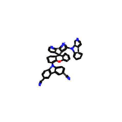 N#Cc1ccc2c(c1)c1cc(C#N)ccc1n2-c1cccc2c1Oc1ccccc1C21c2cccnc2-c2ncc(-n3c4ccccc4c4ccncc43)cc21